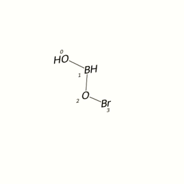 OBOBr